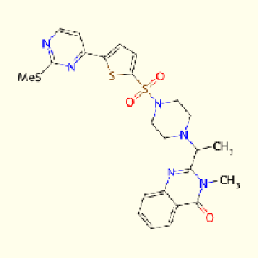 CSc1nccc(-c2ccc(S(=O)(=O)N3CCN(C(C)c4nc5ccccc5c(=O)n4C)CC3)s2)n1